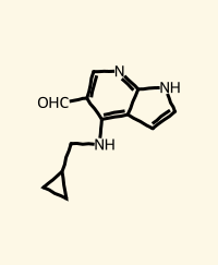 O=Cc1cnc2[nH]ccc2c1NCC1CC1